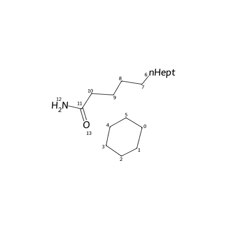 C1CCCCC1.CCCCCCCCCCCC(N)=O